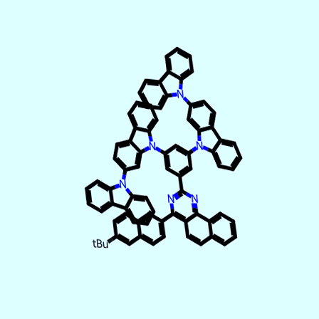 CC(C)(C)c1ccc2cc(-c3nc(-c4cc(-n5c6ccccc6c6ccc(-n7c8ccccc8c8ccccc87)cc65)cc(-n5c6ccccc6c6ccc(-n7c8ccccc8c8ccccc87)cc65)c4)nc4c3ccc3ccccc34)ccc2c1